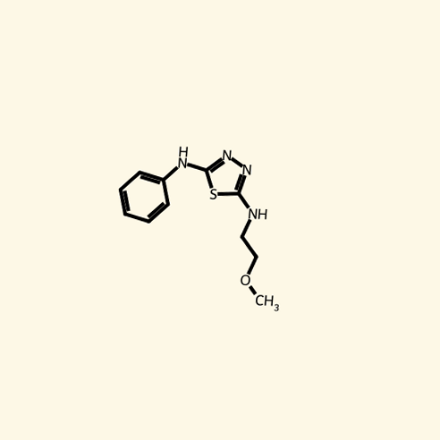 COCCNc1nnc(Nc2ccccc2)s1